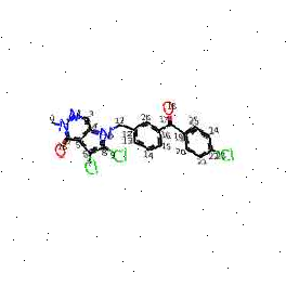 Cn1ncc2c(c(Cl)c(Cl)n2Cc2cccc(C(=O)c3ccc(Cl)cc3)c2)c1=O